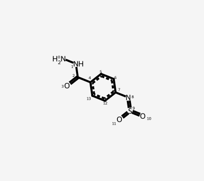 NNC(=O)c1ccc(N=S(=O)=O)cc1